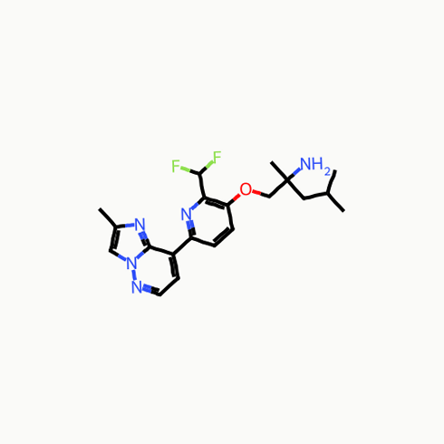 Cc1cn2nccc(-c3ccc(OCC(C)(N)CC(C)C)c(C(F)F)n3)c2n1